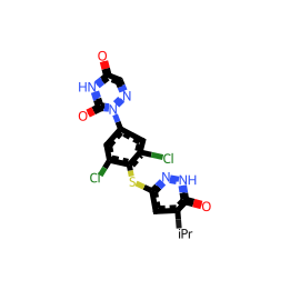 CC(C)c1cc(Sc2c(Cl)cc(-n3ncc(=O)[nH]c3=O)cc2Cl)n[nH]c1=O